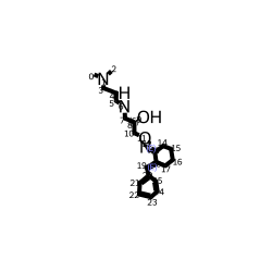 CN(C)CCCNC[C@H](O)CO/N=C1\CCCC\C1=C/c1ccccc1